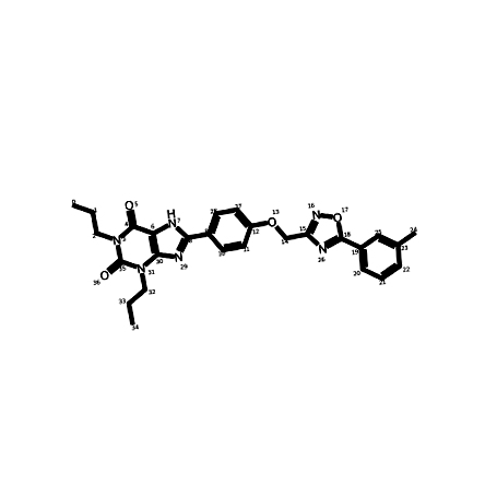 CCCn1c(=O)c2[nH]c(-c3ccc(OCc4noc(-c5cccc(C)c5)n4)cc3)nc2n(CCC)c1=O